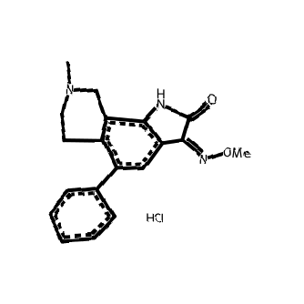 CON=C1C(=O)Nc2c1cc(-c1ccccc1)c1c2CN(C)CC1.Cl